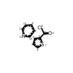 O=C(Cl)c1cccs1.c1ccncc1